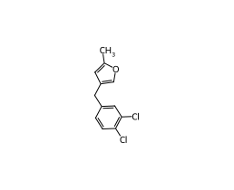 Cc1cc(Cc2ccc(Cl)c(Cl)c2)co1